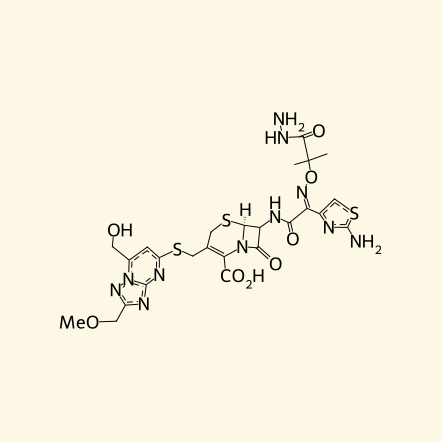 COCc1nc2nc(SCC3=C(C(=O)O)N4C(=O)C(NC(=O)C(=NOC(C)(C)C(=O)NN)c5csc(N)n5)[C@@H]4SC3)cc(CO)n2n1